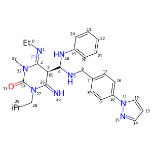 CC/N=C1/[C@@H](C(NCc2ccc(-n3cccn3)cc2)Nc2ccccc2)C(=N)N(CC(C)C)C(=O)N1C